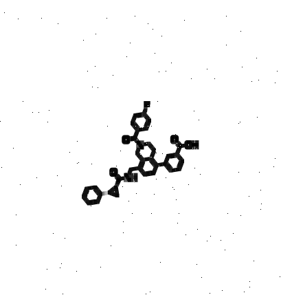 O=C(O)c1cccc(-c2ccc(CNC(=O)[C@H]3C[C@@H]3c3ccccc3)c3c2CCN(C(=O)c2ccc(F)cc2)C3)c1